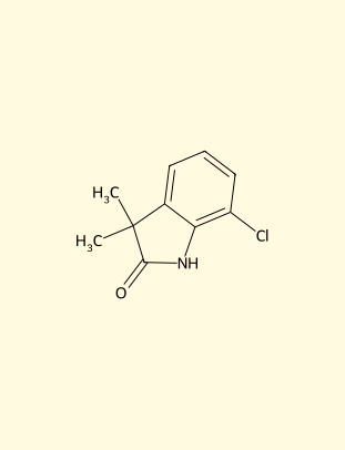 CC1(C)C(=O)Nc2c(Cl)cccc21